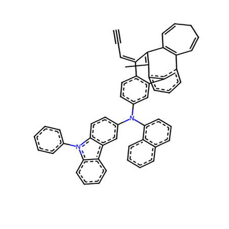 C#C/C=C1\C2=C(C)c3cccc(c3-c3cc(N(c4ccc5c(c4)c4ccccc4n5-c4ccccc4)c4cccc5ccccc45)ccc31)C1=C2C=CCC=C1